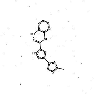 Cc1nc(-c2c[nH]c(C(=O)Nc3ncccc3O)c2)cs1